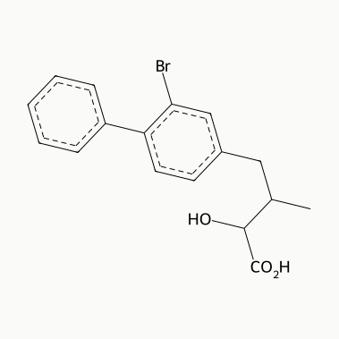 CC(Cc1ccc(-c2ccccc2)c(Br)c1)C(O)C(=O)O